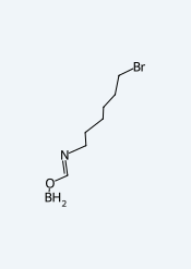 BOC=NCCCCCCBr